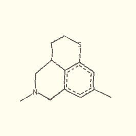 Cc1cc2c3c(c1)SCCC3CN(C)C2